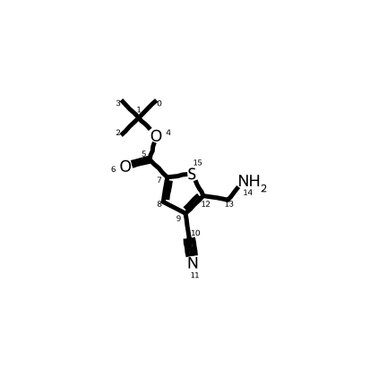 CC(C)(C)OC(=O)c1cc(C#N)c(CN)s1